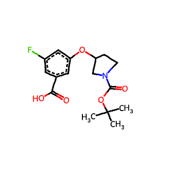 CC(C)(C)OC(=O)N1CCC(Oc2cc(F)cc(C(=O)O)c2)C1